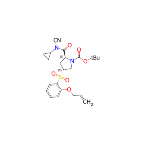 C=CCOc1ccccc1S(=O)(=O)[C@@H]1C[C@@H](C(=O)N(C#N)C2CC2)N(C(=O)OC(C)(C)C)C1